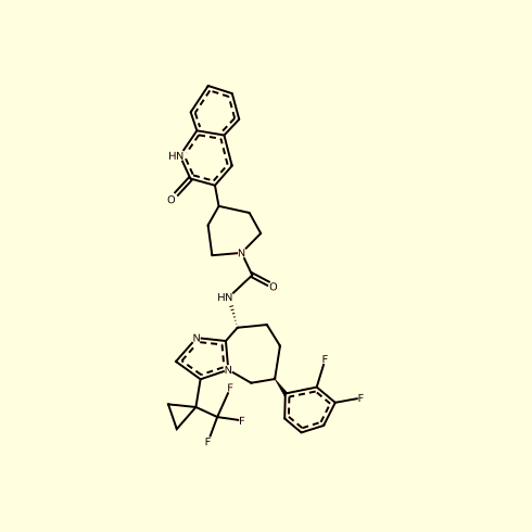 O=C(N[C@@H]1CC[C@@H](c2cccc(F)c2F)Cn2c(C3(C(F)(F)F)CC3)cnc21)N1CCC(c2cc3ccccc3[nH]c2=O)CC1